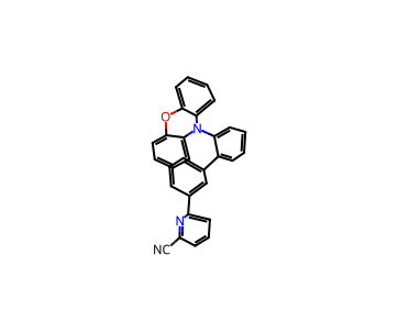 N#Cc1cccc(-c2cccc(-c3ccccc3N3c4ccccc4Oc4ccccc43)c2)n1